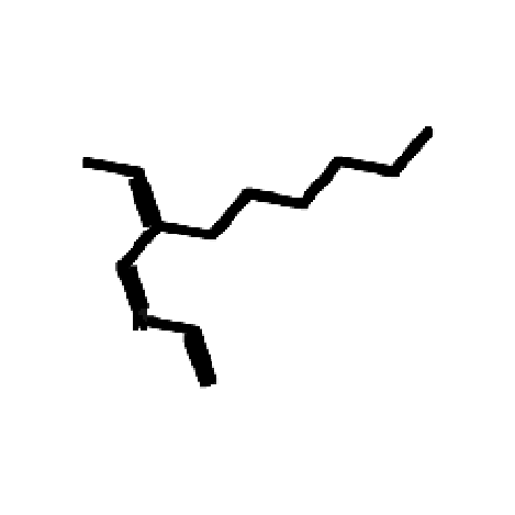 C=C/N=C\C(=C/C)CCCCCC